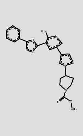 CCCCOC(=O)N1CCC(n2cc(-c3cnc(N)c(-c4nnc(-c5ccccc5)o4)c3)cn2)CC1